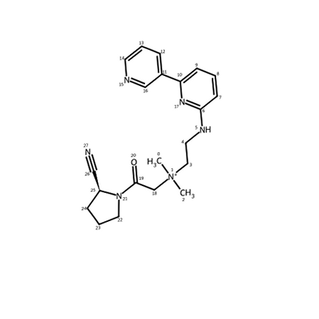 C[N+](C)(CCNc1cccc(-c2cccnc2)n1)CC(=O)N1CCC[C@H]1C#N